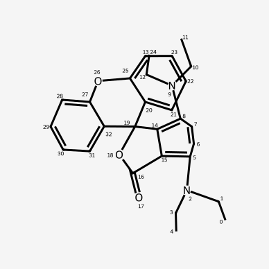 CCN(CC)c1ccc(N(CC)CC)c2c1C(=O)OC21c2ccccc2Oc2ccccc21